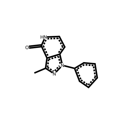 Cc1nn(-c2ccccc2)c2cc[nH]c(=O)c12